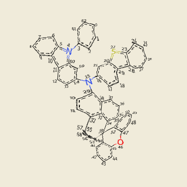 c1ccc(-n2c3ccccc3c3ccc(N(c4ccc5c(c4)sc4ccccc45)c4ccc5c6c(cccc46)C4(c6ccccc6Oc6ccccc64)c4ccccc4-5)cc32)cc1